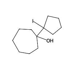 OC1(C2(I)CCCC2)CCCCCC1